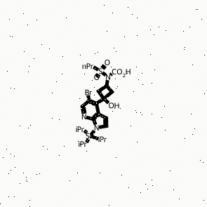 CCCS(=O)(=O)N(C(=O)O)C1CC(O)(c2c(Br)cnc3c2ccn3[Si](C(C)C)(C(C)C)C(C)C)C1